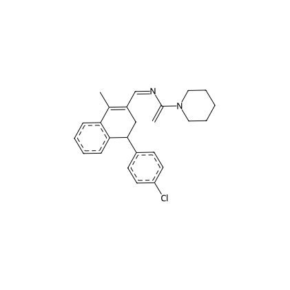 C=C(/N=C\C1=C(C)c2ccccc2C(c2ccc(Cl)cc2)C1)N1CCCCC1